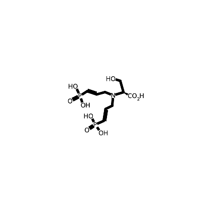 O=C(O)[C@H](CO)N(CC=CP(=O)(O)O)CC=CP(=O)(O)O